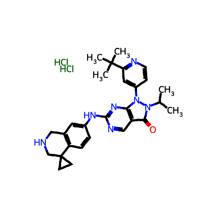 CC(C)n1c(=O)c2cnc(Nc3ccc4c(c3)CNCC43CC3)nc2n1-c1ccnc(C(C)(C)C)c1.Cl.Cl